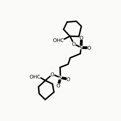 O=CC1(OS(=O)(=O)CCCCS(=O)(=O)OC2(C=O)CCCCC2)CCCCC1